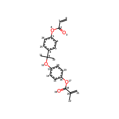 C=CC(=O)Oc1ccc(C(C)(C)Oc2ccc(OC(=O)C(=C)C)cc2)cc1